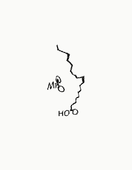 CCCCCCCC/C=C\CCCCCCCC(=O)O.[O]=[Mn]=[O]